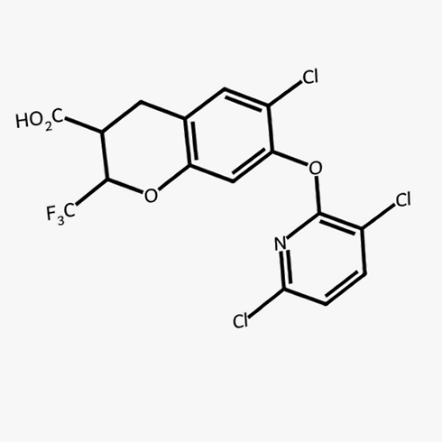 O=C(O)C1Cc2cc(Cl)c(Oc3nc(Cl)ccc3Cl)cc2OC1C(F)(F)F